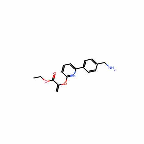 C=C(Oc1cccc(-c2ccc(CN)cc2)n1)C(=O)OCC